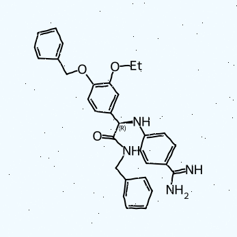 CCOc1cc([C@@H](Nc2ccc(C(=N)N)cc2)C(=O)NCc2ccccc2)ccc1OCc1ccccc1